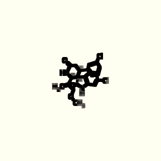 C=C(COC)[C@H]1NC(=O)C[C@@H](c2cccc(Cl)c2)[C@]12C(=O)Nc1cc(Cl)ccc12